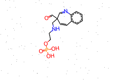 O=CC1(CNCCOP(=O)(O)O)C=Cc2ccccc2N=C1